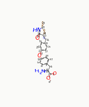 COC(=O)[C@@H](N)Cc1ccc(Oc2ccc(/C=C3/SC(=S)NC3=O)cc2)cc1